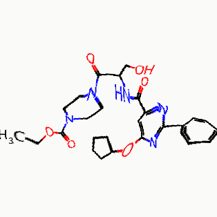 CCOC(=O)N1CCN(C(=O)C(CO)NC(=O)c2cc(OC3CCCC3)nc(-c3ccccc3)n2)CC1